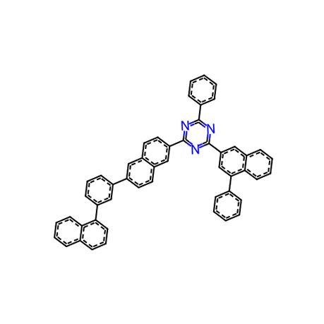 c1ccc(-c2nc(-c3ccc4cc(-c5cccc(-c6cccc7ccccc67)c5)ccc4c3)nc(-c3cc(-c4ccccc4)c4ccccc4c3)n2)cc1